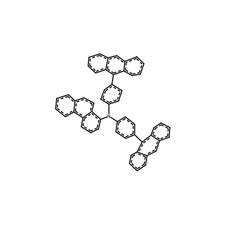 c1ccc2c(-c3ccc(N(c4ccc(-c5c6ccccc6cc6ccccc56)cc4)c4cccc5c4ccc4ccccc45)cc3)c3ccccc3cc2c1